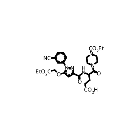 CCOC(=O)COc1cc(C(=O)NC(CCC(=O)O)C(=O)N2CCN(C(=O)OCC)CC2)nn1-c1cccc(C#N)c1